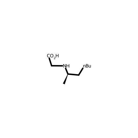 CCCCC[C@@H](C)NCC(=O)O